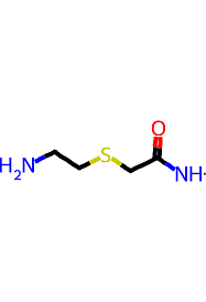 [NH]C(=O)CSCCN